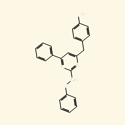 COc1ccc(Cc2cc(-c3ccccc3)nc(NSc3ccccc3)n2)cc1